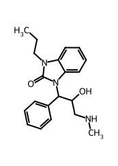 CCCn1c(=O)n(C(c2ccccc2)C(O)CNC)c2ccccc21